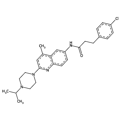 Cc1cc(N2CCN(C(C)C)CC2)nc2ccc(NC(=O)CCc3ccc(Cl)cc3)cc12